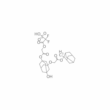 CC1(OC(=O)COC23CC4CC(O)(C2)CC(OC(=O)COC(=O)C(F)(F)S(=O)(=O)O)(C4)C3)C2CC3CC(C2)CC1C3